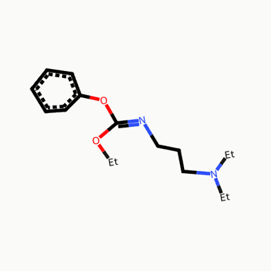 CCOC(=NCCCN(CC)CC)Oc1ccccc1